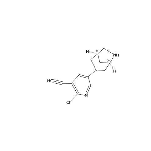 C#Cc1cc(N2C[C@H]3CN[C@H](C3)C2)cnc1Cl